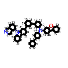 c1ccc(-c2ccc(N(c3cccc(-c4cccc(-c5ccc6c7ccccc7n(-c7cccc8cnccc78)c6c5)c4)c3)c3ccc4c(c3)oc3ccccc34)cc2)cc1